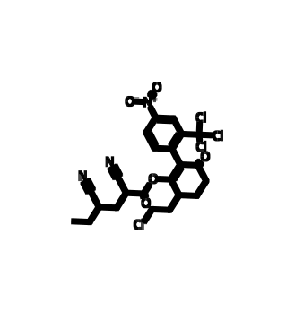 CCC(C#N)CC(C#N)C(=O)OC1=C(c2ccc([N+](=O)[O-])cc2C(Cl)(Cl)Cl)C(=O)CCC1CCCl